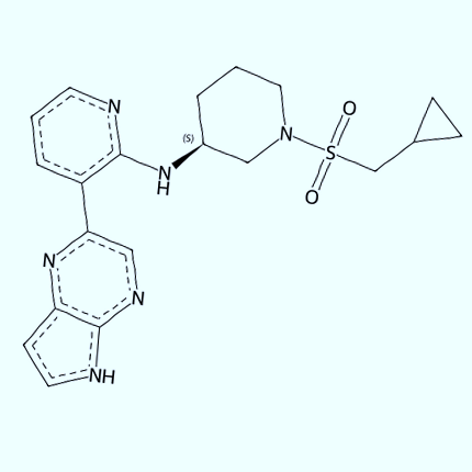 O=S(=O)(CC1CC1)N1CCC[C@H](Nc2ncccc2-c2cnc3[nH]ccc3n2)C1